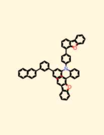 c1cc(-c2cccc(N(c3ccc(-c4cccc5c4oc4ccccc45)cc3)c3ccccc3-c3cccc4c3oc3ccccc34)c2)cc(-c2ccc3ccccc3c2)c1